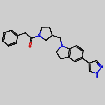 O=C(Cc1ccccc1)N1CCC(CN2CCc3cc(-c4cn[nH]c4)ccc32)C1